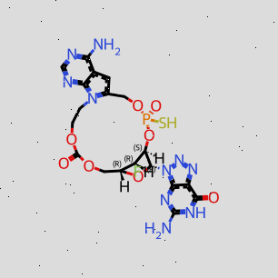 Nc1nc2c(nnn2[C@@H]2O[C@@H]3COC(=O)OCCn4c(cc5c(N)ncnc54)COP(=O)(S)O[C@@H]2[C@@H]3F)c(=O)[nH]1